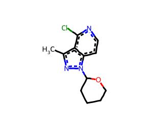 Cc1nn(C2CCCCO2)c2ccnc(Cl)c12